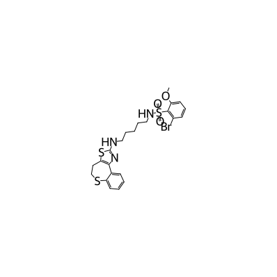 COc1cccc(Br)c1S(=O)(=O)NCCCCCNc1nc2c(s1)CCSc1ccccc1-2